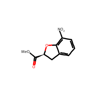 COC(=O)[C@@H]1Cc2cccc([N+](=O)[O-])c2O1